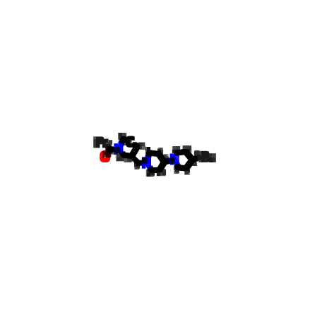 CCC(C)C1CCN(C2CCN(C[C@@H]3CCCN(C(=O)C(C)C)C3)CC2)CC1